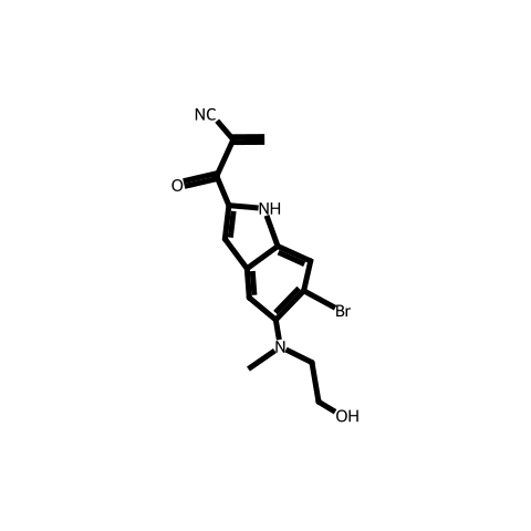 C=C(C#N)C(=O)c1cc2cc(N(C)CCO)c(Br)cc2[nH]1